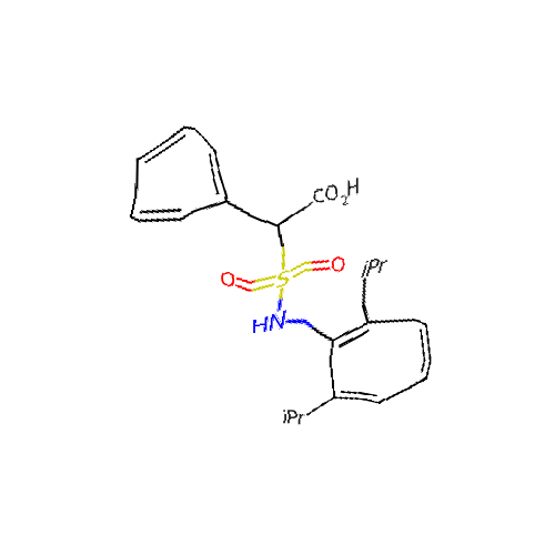 CC(C)c1cccc(C(C)C)c1NS(=O)(=O)C(C(=O)O)c1ccccc1